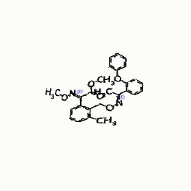 CO/N=C(/C(=O)OC)c1cccc(C)c1CO/N=C(\C)c1ccccc1Oc1ccccc1